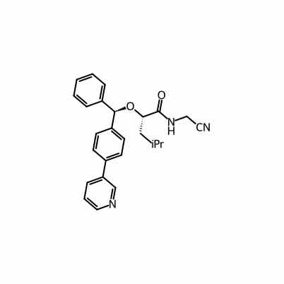 CC(C)C[C@H](O[C@H](c1ccccc1)c1ccc(-c2cccnc2)cc1)C(=O)NCC#N